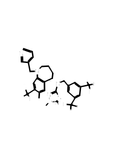 Cc1cc2c(cc1C(F)(F)F)N(Cc1cccnc1)CCC[C@@H]2N(Cc1cc(C(F)(F)F)cc(C(F)(F)F)c1)c1nnn(C)n1